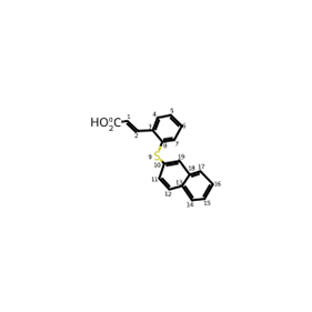 O=C(O)C=Cc1ccccc1Sc1ccc2ccccc2c1